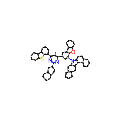 Cc1c(-c2cc(-n3c4cc5ccccc5cc4c4c5ccccc5ccc43)c3oc4ccccc4c3c2)nc(-c2ccc3ccccc3c2)nc1-c1cccc2c1sc1ccccc12